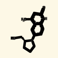 O=c1cc(C(F)(F)F)c2cc(N3CCC[C@@H]3CO)ccc2[nH]1